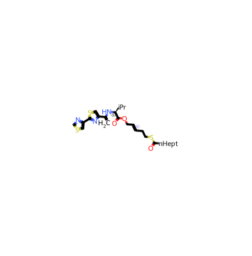 C=C(N[C@H](C(=O)OC/C=C/CCSC(=O)CCCCCCC)C(C)C)c1csc(-c2cscn2)n1